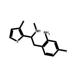 CNC(Cc1ccc(I)cc1N)c1sccc1C